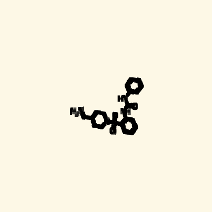 NCC1CCN(S(=O)(=O)c2ccccc2NC(=O)Nc2ccccc2)CC1